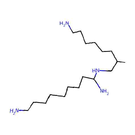 CC(CCCCCCN)CNC(N)CCCCCCCCN